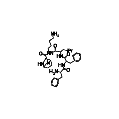 CC(C)CC(NC(=O)C(Cc1ccccc1)NC(=O)C(N)Cc1ccccc1)C(=O)NC(CCCCN)C(=O)N1CC2CCC1CN2